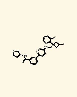 O=C(N[C@H]1CCOC1)c1cccc(-c2ccc(NC[C@]3(c4ncccc4F)C[C@H](F)C3)nn2)c1